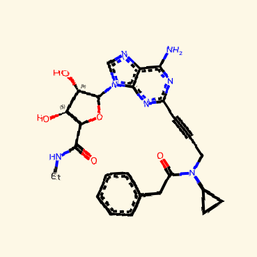 CCNC(=O)C1OC(n2cnc3c(N)nc(C#CCN(C(=O)Cc4ccccc4)C4CC4)nc32)[C@H](O)[C@@H]1O